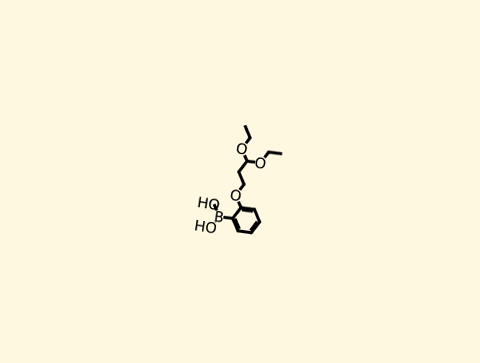 CCOC(CCOc1ccccc1B(O)O)OCC